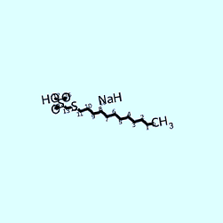 CCCCCCCCCCCCSCS(=O)(=O)O.[NaH]